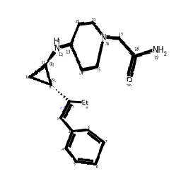 CC/C(=C\c1ccccc1)[C@@H]1C[C@H]1NC1CCN(CC(N)=O)CC1